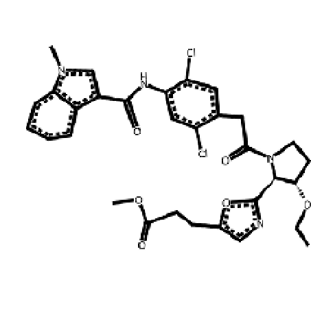 CCO[C@H]1CCN(C(=O)Cc2cc(Cl)c(NC(=O)c3cn(C)c4ccccc34)cc2Cl)[C@@H]1c1ncc(CCC(=O)OC)o1